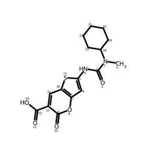 CN(C(=O)Nc1cc2oc(=O)c(C(=O)O)cc2s1)C1CCCCC1